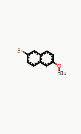 CC(C)(C)Oc1[c]c2ccc(Br)cc2cc1